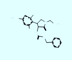 COc1cc(F)c(C2CN(CSC)C(=O)C2NC(=O)OCc2ccccc2)c(F)c1